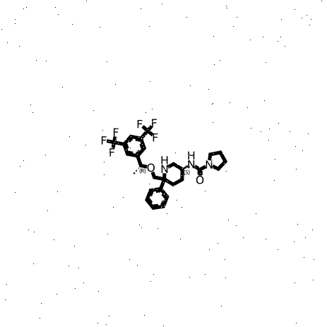 C[C@@H](OCC1(c2ccccc2)CC[C@H](NC(=O)N2CCCC2)CN1)c1cc(C(F)(F)F)cc(C(F)(F)F)c1